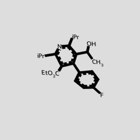 CCOC(=O)c1c(C(C)C)nc(C(C)C)c(C(C)O)c1-c1ccc(F)cc1